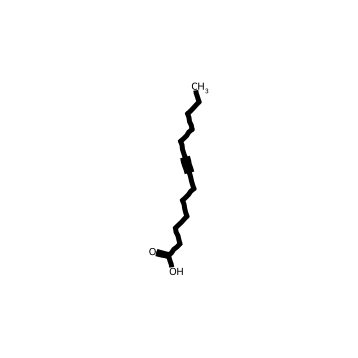 CCCCCC#CCCCCCC(=O)O